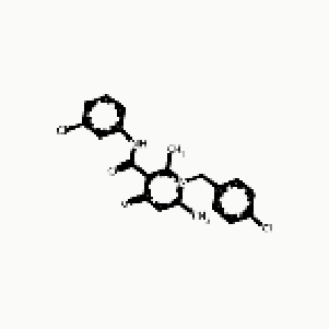 Cc1cc(=O)c(C(=O)Nc2cccc(Cl)c2)c(C)n1Cc1ccc(Cl)cc1